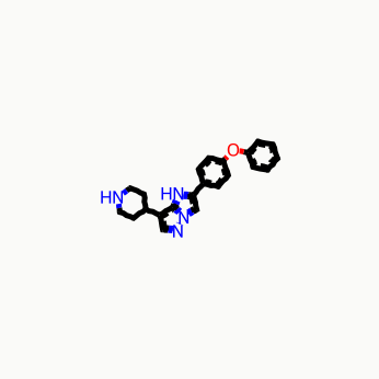 c1ccc(Oc2ccc(-c3cn4ncc(C5CCNCC5)c4[nH]3)cc2)cc1